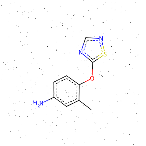 Cc1cc(N)ccc1Oc1ncns1